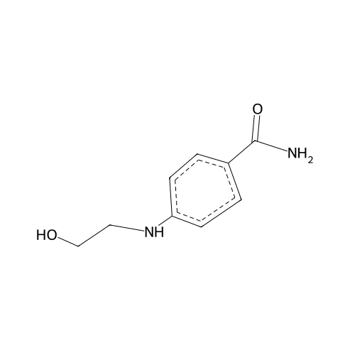 NC(=O)c1ccc(NCCO)cc1